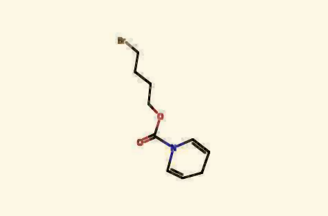 O=C(OCCCCBr)N1C=CCC=C1